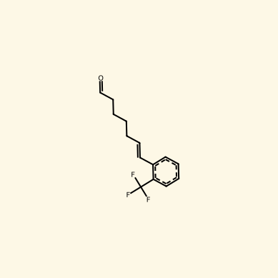 O=CCCCCC=Cc1ccccc1C(F)(F)F